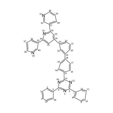 c1ccc(-c2nc(-c3ccccc3)nc(-c3ccc(-c4cccc(-c5cc(-c6cccnc6)nc(-c6cccnc6)c5)c4)cc3)n2)cc1